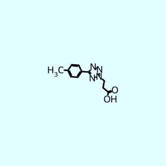 Cc1ccc(-c2nnn(CCC(=O)O)n2)cc1